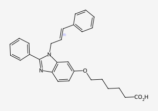 O=C(O)CCCCCOc1ccc2nc(-c3ccccc3)n(C/C=C/c3ccccc3)c2c1